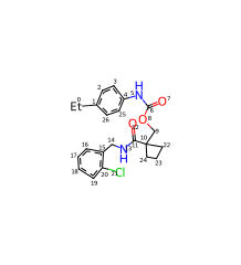 CCc1ccc(NC(=O)OCC2(C(=O)NCc3ccccc3Cl)CCC2)cc1